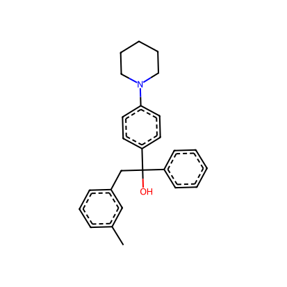 Cc1cccc(CC(O)(c2ccccc2)c2ccc(N3CCCCC3)cc2)c1